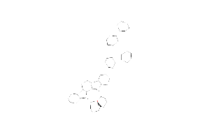 c1ccc(-c2cccc(C3c4ccccc4-c4cc(-c5ccc6c(c5)c5ccc7c8ccccc8n(-c8ccccc8)c7c5n6-c5ccccc5)ccc43)c2)cc1